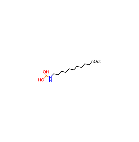 CCCCCCCCCCCCCCCCCCNP(O)O